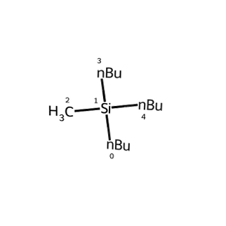 CCCC[Si](C)(CCCC)CCCC